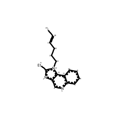 CCc1nc2cnc3ccccc3c2n1CCC/C=C/I